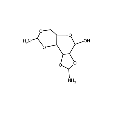 NC1OCC2OC(O)C3OC(N)OC3C2O1